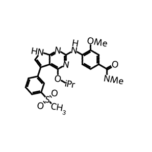 CNC(=O)c1ccc(Nc2nc(OC(C)C)c3c(-c4cccc(S(C)(=O)=O)c4)c[nH]c3n2)c(OC)c1